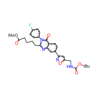 COC(=O)CCCCc1nc2cc(-c3cc(CNC(=O)OC(C)(C)C)on3)ccc2c(=O)n1-c1ccc(F)cc1